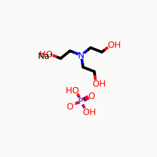 O=P([O-])(O)O.OCCN(CCO)CCO.[Na+]